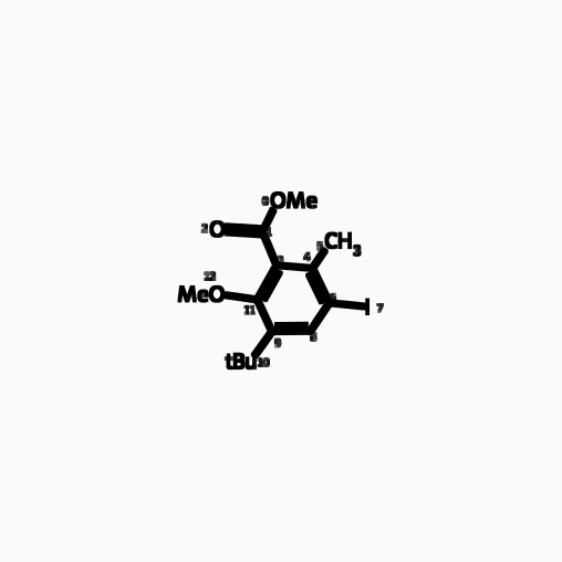 COC(=O)c1c(C)c(I)cc(C(C)(C)C)c1OC